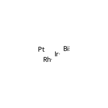 [Bi].[Ir].[Pt].[Rh]